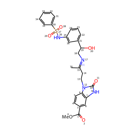 COC(=O)c1ccc2c(c1)[nH]c(=O)n2CC/C(C)=N/CC(O)c1cccc(NS(=O)(=O)c2ccccc2)c1